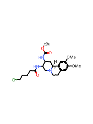 COc1cc2c(cc1OC)[C@@H]1CC(NC(=O)OC(C)(C)C)C(NC(=O)CCCCCl)CN1CC2